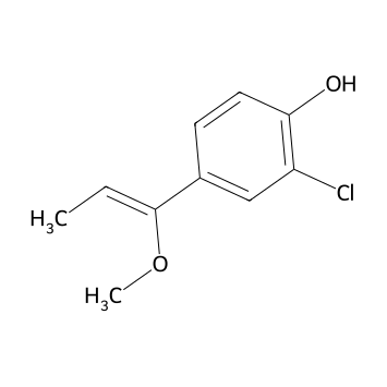 CC=C(OC)c1ccc(O)c(Cl)c1